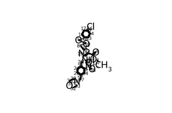 CCOC(=O)c1sc(CS(=O)(=O)c2ccc(Cl)cc2)nc1NCc1ccc(CN2CCOCC2)cc1[N+](=O)[O-]